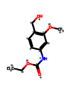 O=C(Nc1ccc(CO)c(OC(F)(F)F)c1)OCC(Cl)(Cl)Cl